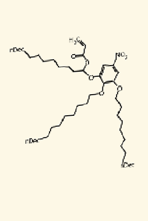 C=CC(=O)OC(CCCCCCCCCCCCCCCCC)Oc1cc([N+](=O)[O-])cc(OCCCCCCCCCCCCCCCCCC)c1OCCCCCCCCCCCCCCCCCC